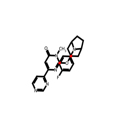 Cn1c(OC2CC3CCC(C2)N3c2ccc(F)cc2)nc(-c2ccncn2)cc1=O